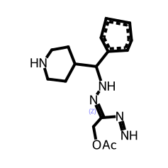 CC(=O)OC/C(N=N)=N/NC(c1ccccc1)C1CCNCC1